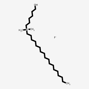 CCCCCCCCCCCCCCCCCC[N+](C)(C)CCCCCCO.[F-]